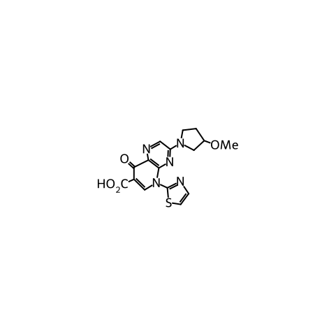 COC1CCN(c2cnc3c(=O)c(C(=O)O)cn(-c4nccs4)c3n2)C1